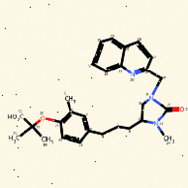 Cc1cc(CCCC2CN(Cc3ccc4ccccc4n3)C(=O)N2C)ccc1OC(C)(C)C(=O)O